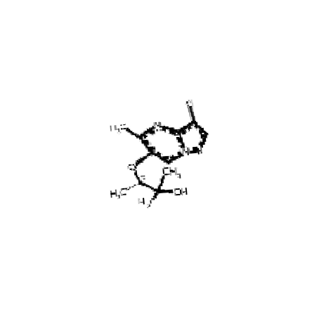 Cc1nc2c(Cl)cnn2cc1O[C@@H](C)C(C)(C)O